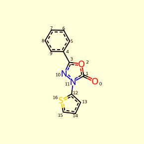 O=c1oc(-c2ccccc2)nn1-c1cccs1